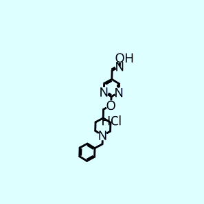 Cl.O/N=C/c1cnc(OCC2CCN(Cc3ccccc3)CC2)nc1